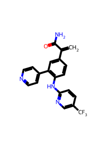 C=C(C(N)=O)c1ccc(Nc2ccc(C(F)(F)F)cn2)c(-c2ccncc2)c1